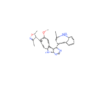 COc1cc2c(cc1C1C(C)=NOC1C)[nH]c1ncnc(C3=C4C=CC=CC4NC(C)=C3)c12